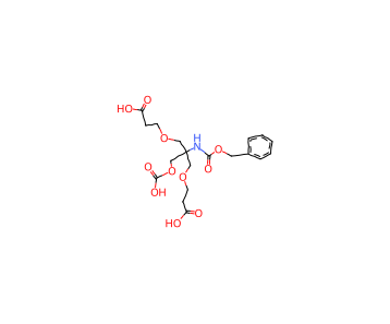 O=C(O)CCOCC(COCCC(=O)O)(COC(=O)O)NC(=O)OCc1ccccc1